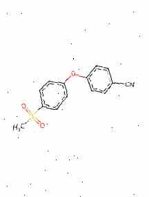 CS(=O)(=O)c1ccc(Oc2ccc(C#N)cc2)cc1